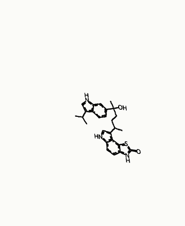 CC(C)c1c[nH]c2cc(C(C)(O)CCC(C)c3c[nH]c4ccc5[nH]c(=O)sc5c34)ccc12